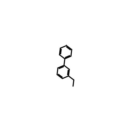 CCc1cccc(-c2cc[c]cc2)c1